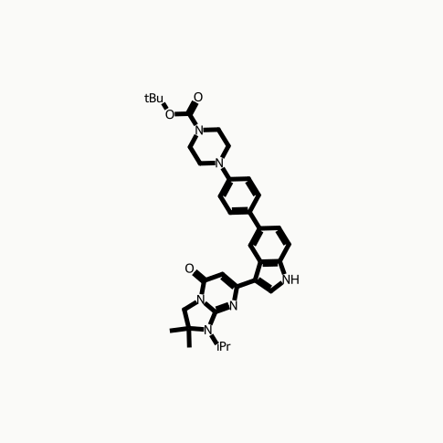 CC(C)N1c2nc(-c3c[nH]c4ccc(-c5ccc(N6CCN(C(=O)OC(C)(C)C)CC6)cc5)cc34)cc(=O)n2CC1(C)C